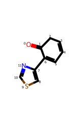 O=C1CC=CC=C1c1cscn1